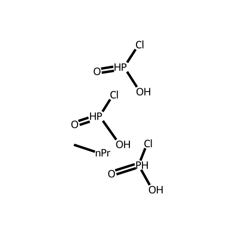 CCCC.O=[PH](O)Cl.O=[PH](O)Cl.O=[PH](O)Cl